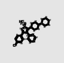 Cl.Clc1ccc(-c2n[nH]c(C3CCC(N4CCCCC4)CC3)c2-c2ccncn2)cc1.O